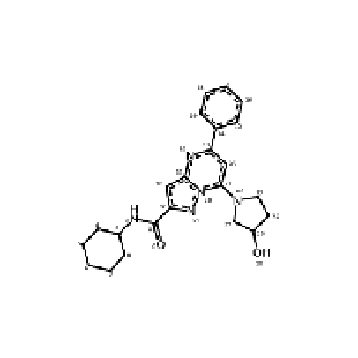 O=C(NC1CCCCC1)c1cc2nc(-c3ccccc3)cc(N3CCC(O)C3)n2n1